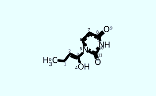 CCC=C(O)n1ccc(=O)[nH]c1=O